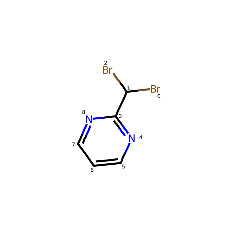 BrC(Br)c1ncccn1